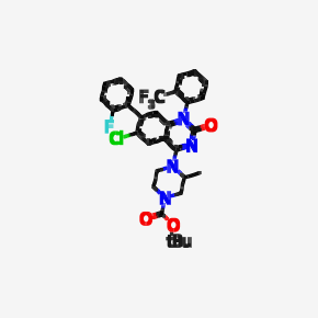 CC1CN(C(=O)OC(C)(C)C)CCN1c1nc(=O)n(-c2ccccc2C(F)(F)F)c2cc(-c3ccccc3F)c(Cl)cc12